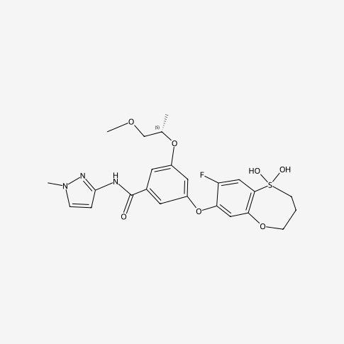 COC[C@H](C)Oc1cc(Oc2cc3c(cc2F)S(O)(O)CCCO3)cc(C(=O)Nc2ccn(C)n2)c1